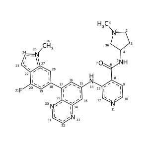 CN1CCC(NC(=O)c2ccncc2Nc2cc(-c3cc(F)c4ccn(C)c4c3)c3nccnc3c2)C1